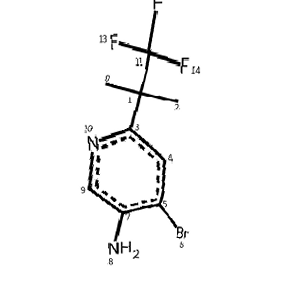 CC(C)(c1cc(Br)c(N)cn1)C(F)(F)F